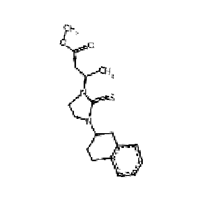 COC(=O)CC(C)N1CCN(C2CCc3ccccc3C2)C1=S